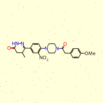 COc1ccc(CC(=O)N2CCN(c3ccc(C4=NNC(=O)CC4C)cc3[N+](=O)[O-])CC2)cc1